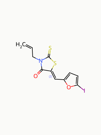 C=CCN1C(=O)/C(=C/c2ccc(I)o2)SC1=S